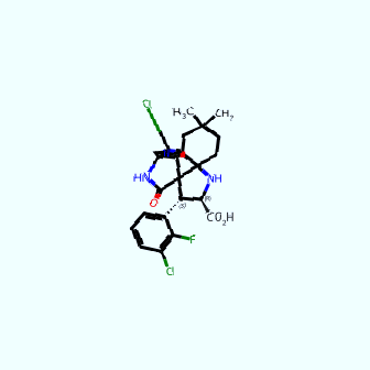 CC1(C)CCC2(CC1)N[C@@H](C(=O)O)[C@H](c1cccc(Cl)c1F)C21C(=O)Nc2cc(Cl)ncc21